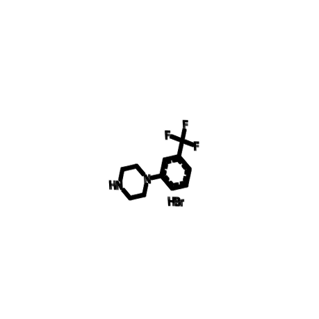 Br.FC(F)(F)c1cccc(N2CCNCC2)c1